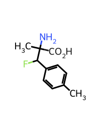 Cc1ccc(C(F)C(C)(N)C(=O)O)cc1